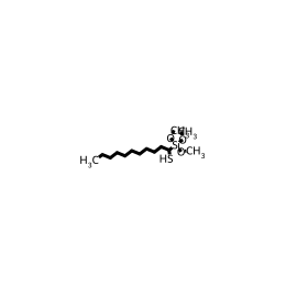 CCCCCCCCCCC(S)[Si](OC)(OC)OC